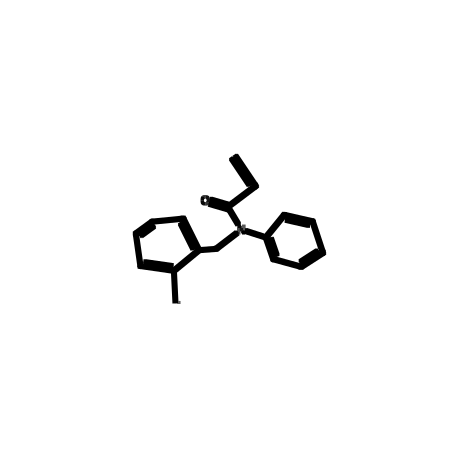 [CH2]c1ccccc1CN(C(=O)C=C)c1ccccc1